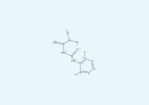 CCN(CC)C(=N)NC(=O)Nc1c(C)cccc1C